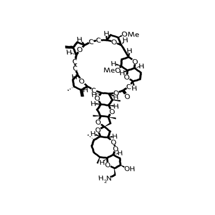 C=C1C[C@@H]2CC[C@@H]3C[C@@H](OC)[C@H](O3)[C@H]3C[C@@H](OC)[C@H]4O[C@H](CC[C@@H]4O3)CC(=O)O[C@@H]3[C@@H](C)[C@@H]4O[C@]5(C)C[C@]6(C[C@@H]7OO[C@H]8C[C@@H](O)[C@@H](CN)O[C@H]8[C@@H](C)CC[C@H](C)[C@@H]7O6)O[C@]5(C)C[C@@H]4O[C@H]3C[C@H]3O[C@@H](CC[C@@H]1O2)C[C@@H](C)C3=C